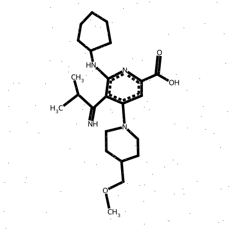 COCC1CCN(c2cc(C(=O)O)nc(NC3CCCCC3)c2C(=N)C(C)C)CC1